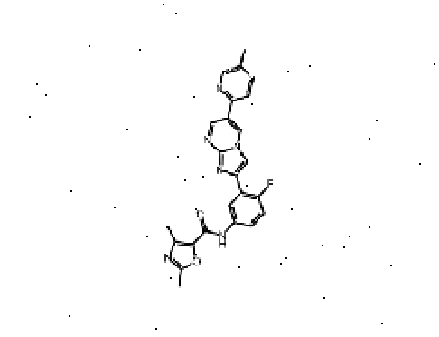 Cc1ccc(-c2cnc3nc(-c4cc(NC(=O)c5oc(C)nc5C)ccc4F)cn3c2)nc1